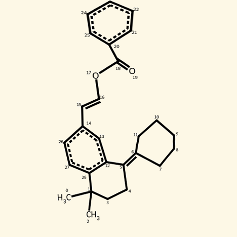 CC1(C)CCC(=C2CCCCC2)c2cc(C=COC(=O)c3ccccc3)ccc21